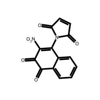 O=C1C(=O)c2ccccc2C(N2C(=O)C=CC2=O)=C1[N+](=O)[O-]